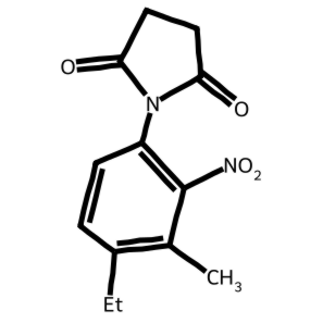 CCc1ccc(N2C(=O)CCC2=O)c([N+](=O)[O-])c1C